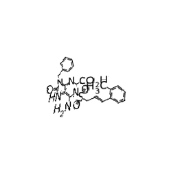 Cc1ccccc1C=CCS(=O)(=O)N1C(N)=c2[nH]c(=O)n(Cc3ccccc3)c2=NC1C(=O)O